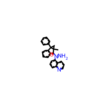 CC1(C(=O)N(N)c2cccc3ncccc23)CC1(c1ccccc1)c1ccccc1